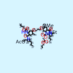 C=CCOC(=O)COC(=O)Nc1cc(OCCCOc2cc(NC(=O)OCC=C)c(C(=O)N3C=C(/C=C/C)C[C@H]3COC(C)=O)cc2C)c(OC)cc1C(=O)N1C=C(/C=C/C)C[C@H]1CC